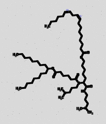 CCCCC/C=C\C/C=C\CCCCCCCC(=O)OCCCCCC(C(=O)NCCCN(C)C)N(CCCN(C)C)C(=O)CCCCC(=O)OC(CCCCCCCC)CCCCCCCC